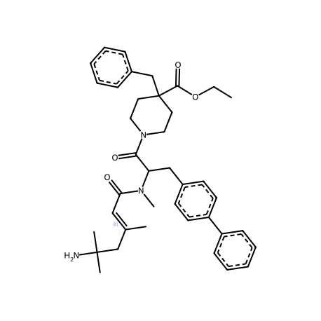 CCOC(=O)C1(Cc2ccccc2)CCN(C(=O)C(Cc2ccc(-c3ccccc3)cc2)N(C)C(=O)/C=C(\C)CC(C)(C)N)CC1